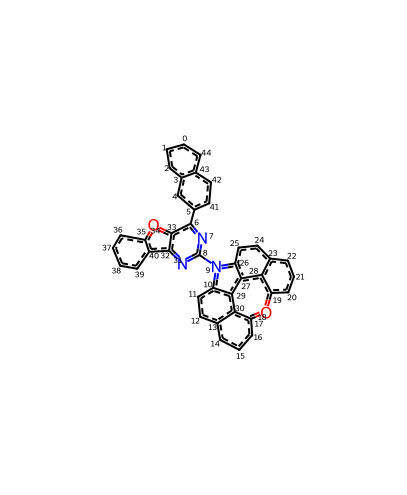 c1ccc2cc(-c3nc(-n4c5ccc6cccc7oc8cccc9ccc4c(c98)c5c67)nc4c3oc3ccccc34)ccc2c1